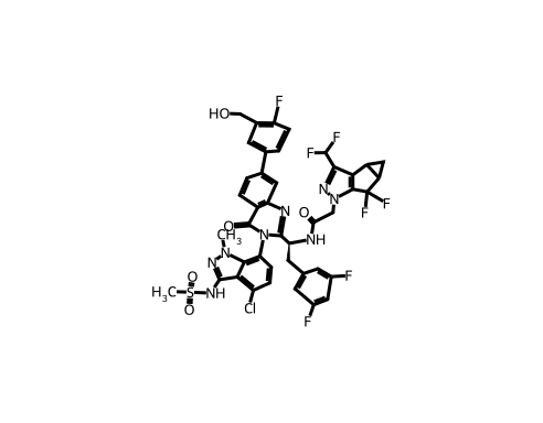 Cn1nc(NS(C)(=O)=O)c2c(Cl)ccc(-n3c([C@H](Cc4cc(F)cc(F)c4)NC(=O)Cn4nc(C(F)F)c5c4C(F)(F)C4CC54)nc4cc(-c5ccc(F)c(CO)c5)ccc4c3=O)c21